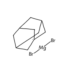 C1[C]2CC3CC1CC(C2)C3.[Br][Mg][Br]